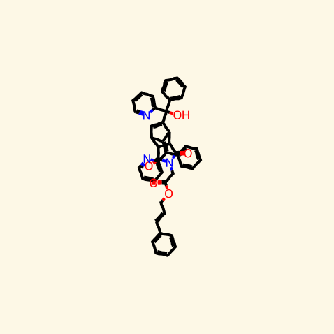 O=C(CN1C(=O)C2C3C=C(C(O)(c4ccccc4)c4ccccn4)C(C3=C(c3ccccc3)c3ccccn3)C2C1=O)OCC=Cc1ccccc1